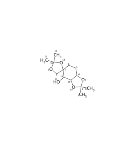 CC1(C)OC2CCC3(COC(C)(C)O3)C(O)C2O1